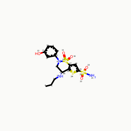 CCCN[C@@H]1CN(c2cccc(O)c2)S(=O)(=O)c2cc(S(N)(=O)=O)sc21